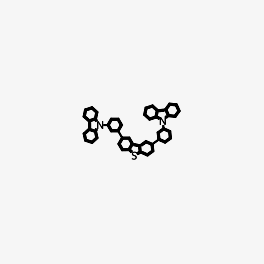 c1cc(-c2ccc3sc4ccc(-c5cccc(-n6c7ccccc7c7ccccc76)c5)cc4c3c2)cc(-n2c3ccccc3c3ccccc32)c1